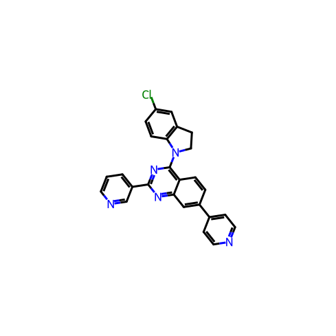 Clc1ccc2c(c1)CCN2c1nc(-c2cccnc2)nc2cc(-c3ccncc3)ccc12